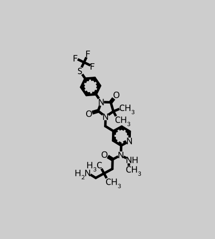 CNN(C(=O)CC(C)(C)CN)c1cc(CN2C(=O)N(c3ccc(SC(F)(F)F)cc3)C(=O)C2(C)C)ccn1